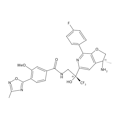 COc1cc(C(=O)NC[C@@](O)(c2cc3c(c(-c4ccc(F)cc4)n2)OC[C@@]3(C)N)C(F)(F)F)ccc1-c1nc(C)no1